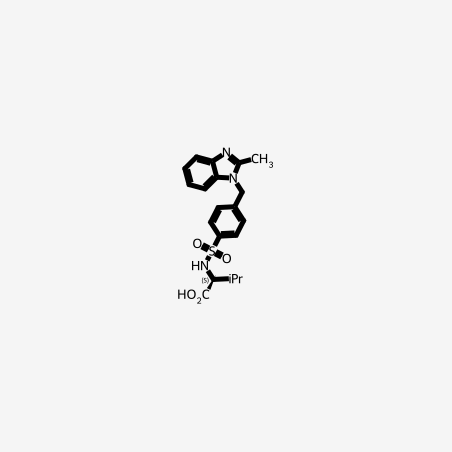 Cc1nc2ccccc2n1Cc1ccc(S(=O)(=O)N[C@H](C(=O)O)C(C)C)cc1